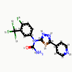 NC(=O)N(c1ccc(F)c(C(F)(F)F)c1)c1nnc(-c2ccncc2)s1